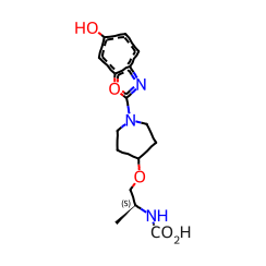 C[C@@H](COC1CCN(c2nc3ccc(O)cc3o2)CC1)NC(=O)O